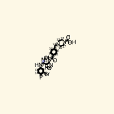 O=C(Nc1nonc1/C(=N\O)Nc1ccc(F)c(Br)c1)c1ccc(CN2CCN(C(=O)O)CC2)cc1